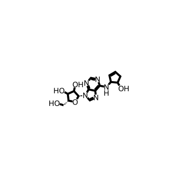 OC[C@H]1O[C@@H](n2cnc3c(NC4C=CCC4O)ncnc32)C(O)C1O